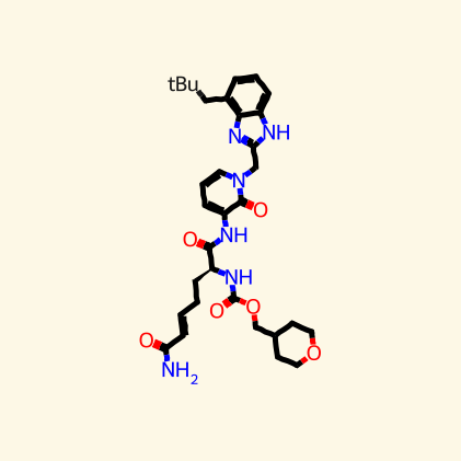 CC(C)(C)Cc1cccc2[nH]c(Cn3cccc(NC(=O)[C@H](CC/C=C/C(N)=O)NC(=O)OCC4CCOCC4)c3=O)nc12